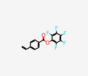 C=Cc1ccc(C(=O)Oc2c(F)c(F)c(F)c(F)c2F)cc1